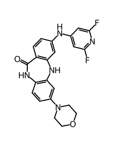 O=C1Nc2ccc(N3CCOCC3)cc2Nc2cc(Nc3cc(F)nc(F)c3)ccc21